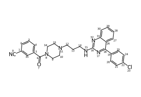 N#Cc1cccc(C(=O)N2CCN(CCCNc3nc(-c4ccc(Cl)cc4)c4ccccc4n3)CC2)c1